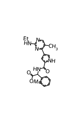 CCNc1ncc(C)c(-c2c[nH]c(C(=O)NC(C(=O)OC)c3ccccc3)c2)n1